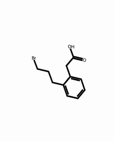 O=C(O)Cc1ccccc1CCCBr